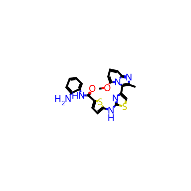 COc1cccc2nc(C)c(-c3csc(Nc4ccc(C(=O)Nc5ccccc5N)s4)n3)n12